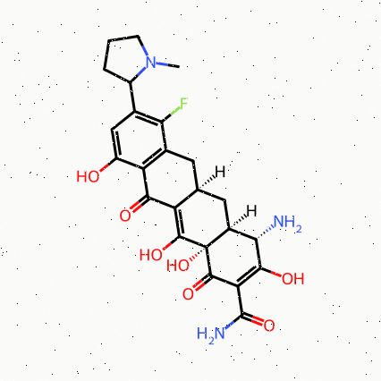 CN1CCCC1c1cc(O)c2c(c1F)C[C@H]1C[C@H]3[C@H](N)C(O)=C(C(N)=O)C(=O)[C@@]3(O)C(O)=C1C2=O